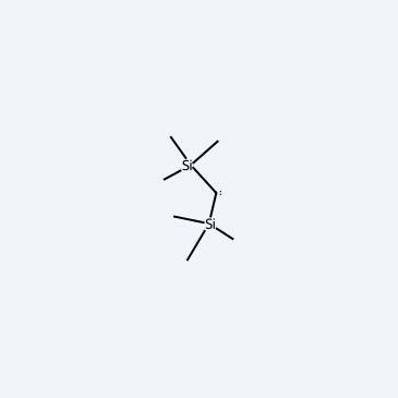 C[Si](C)(C)[C][Si](C)(C)C